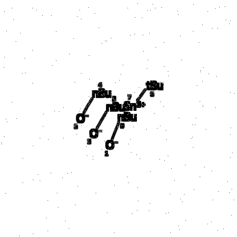 CCCC[O-].CCCC[O-].CCCC[O-].C[C](C)(C)[Sn+3]